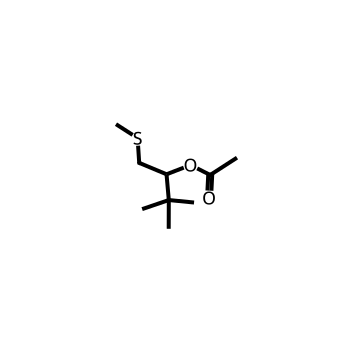 CSCC(OC(C)=O)C(C)(C)C